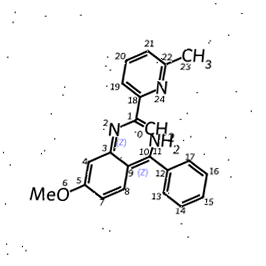 C=C(/N=C1/C=C(OC)C=C/C1=C(/N)c1ccccc1)c1cccc(C)n1